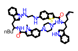 C/C=C\CC(Cc1c[nH]c2ccccc12)NC(=O)c1cc2ccc(NCCNn3cc(CC(CCCC)NC(=O)c4cc5ccc(N6CCN(C)CC6)cc5n4C)c4ccccc43)cc2s1